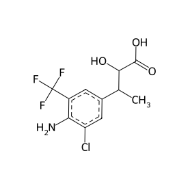 CC(c1cc(Cl)c(N)c(C(F)(F)F)c1)C(O)C(=O)O